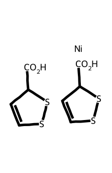 O=C(O)C1C=CSS1.O=C(O)C1C=CSS1.[Ni]